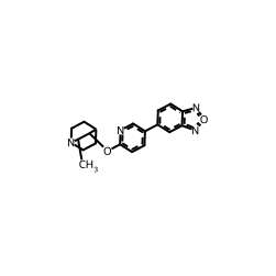 CC1C(Oc2ccc(-c3ccc4nonc4c3)cn2)C2CCN1CC2